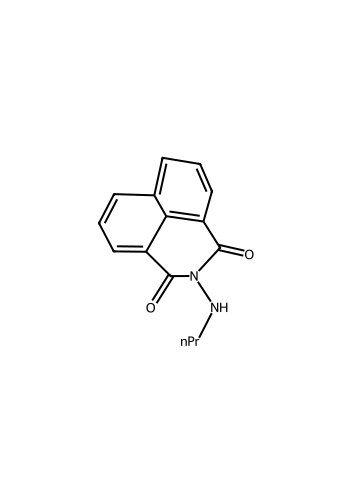 CCCNN1C(=O)c2cccc3cccc(c23)C1=O